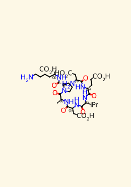 CC(C)[C@H](NC(=O)[C@H](CCC(=O)O)NC(=O)[C@@H](N)CC(=O)O)C(=O)N[C@@H](CC(=O)O)C(=O)N[C@@H](C)C(=O)N1CCC[C@H]1C(=O)N[C@@H](CCCCN)C(=O)O